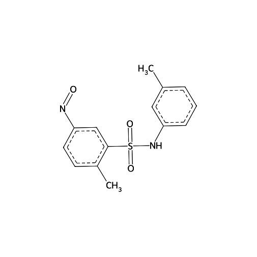 Cc1cccc(NS(=O)(=O)c2cc(N=O)ccc2C)c1